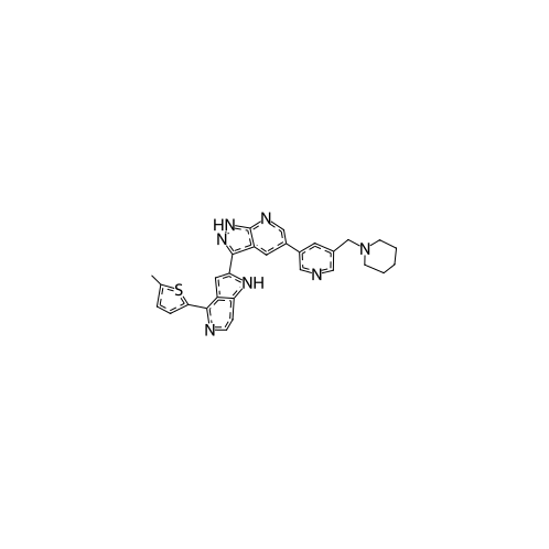 Cc1ccc(-c2nccc3[nH]c(-c4n[nH]c5ncc(-c6cncc(CN7CCCCC7)c6)cc45)cc23)s1